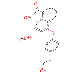 Br.O=C1C(=O)c2ccc(Oc3ccc(CCO)cc3)c3cccc1c23.[Pd]